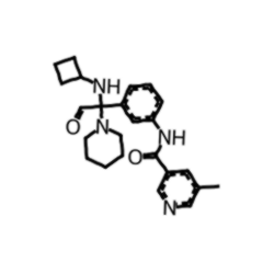 Cc1cncc(C(=O)Nc2cccc(C(C=O)(NC3CCC3)N3CCCCC3)c2)c1